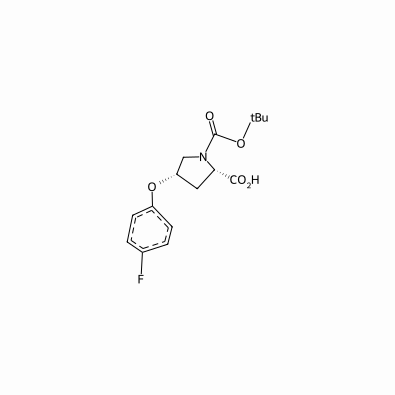 CC(C)(C)OC(=O)N1C[C@@H](Oc2ccc(F)cc2)C[C@H]1C(=O)O